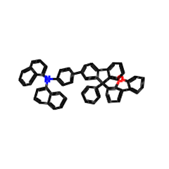 c1ccc(C2(c3cccc4c3oc3ccccc34)c3ccccc3-c3ccc(-c4ccc(N(c5cccc6ccccc56)c5cccc6ccccc56)cc4)cc32)cc1